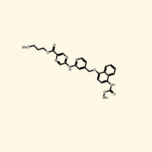 COCCCOC(=O)c1cnc(Nc2cc(COc3ccc(NC(=O)OC(C)(C)C)c4ccccc34)ccn2)cn1